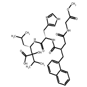 COC(=O)CNC(=O)CC(Cc1cccc2ccccc12)C(=O)N[C@@H](Cc1c[nH]cn1)C(=O)N[C@@H](CC(C)C)C(O)(C(=O)O)C(C)C